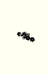 CS(=O)(=O)c1cc(-c2ccccc2)ccc1C(=O)N1CCCC1CN1CCCC1